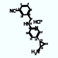 Cl.N#Cc1cccc(CNc2ccc([C@@H]3C[C@H]3N)cn2)c1